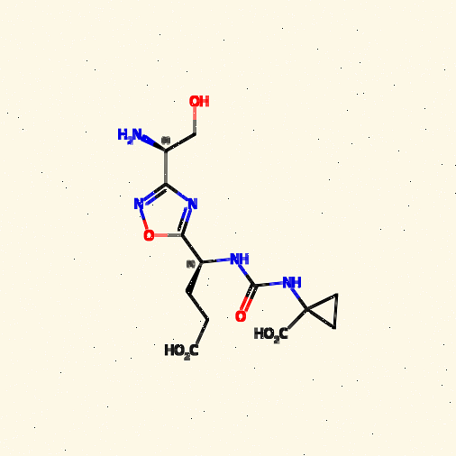 N[C@@H](CO)c1noc([C@H](CCC(=O)O)NC(=O)NC2(C(=O)O)CC2)n1